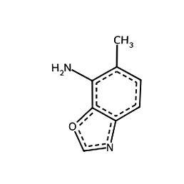 Cc1ccc2ncoc2c1N